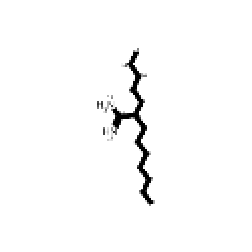 CCCCCCCC(CCCCC)C(=N)N